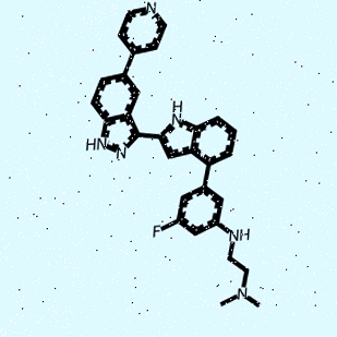 CN(C)CCNc1cc(F)cc(-c2cccc3[nH]c(-c4n[nH]c5ccc(-c6ccncc6)cc45)cc23)c1